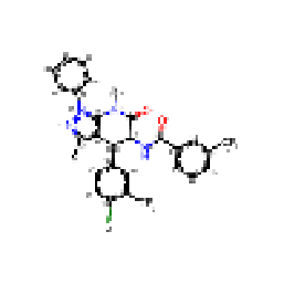 CCN1C(=O)C(NC(=O)c2cccc(C(F)(F)F)c2)[C@@H](c2ccc(F)c(C(F)(F)F)c2)c2c(C)nn(-c3ccccc3)c21